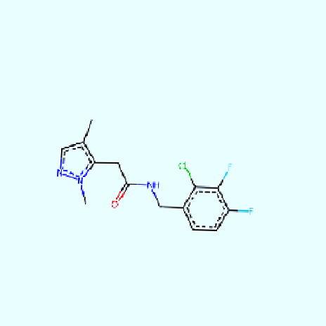 Cc1cnn(C)c1CC(=O)NCc1ccc(F)c(F)c1Cl